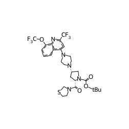 CC(C)(C)OC(=O)N1C[C@@H](N2CCN(c3cc(C(F)(F)F)nc4c(OC(F)(F)F)cccc34)CC2)C[C@H]1C(=O)N1CCSC1